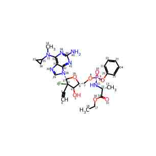 C#C[C@@]1(F)[C@H](O)[C@@H](CO[P@@](=O)(N[C@H](C)C(=O)OCC)Oc2ccccc2)O[C@H]1n1cnc2c(N(C)C3CC3)nc(N)nc21